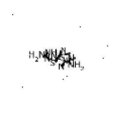 CN(Cc1ncc(-c2csc(N=C(N)N)n2)s1)C(N)=NC#N